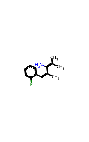 CC(C)=C(N)/C(C)=C\c1ccccc1F